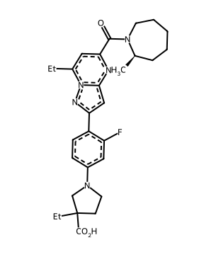 CCc1cc(C(=O)N2CCCCC[C@H]2C)nc2cc(-c3ccc(N4CCC(CC)(C(=O)O)C4)cc3F)nn12